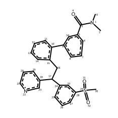 CN(C)C(=O)c1cccc(-c2ccccc2CC(c2cccnc2)c2cccc(S(C)(=O)=O)c2)c1